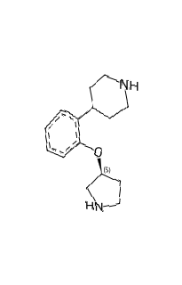 c1ccc(C2CCNCC2)c(O[C@H]2CCNC2)c1